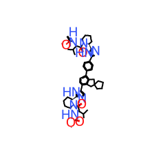 C=C(N[C@H](C(=O)N1CCCC[C@H]1c1ncc(-c2ccc(-c3ccc(-c4cnc([C@@H]5CCCCN5C(=O)[C@@H](NC(=O)OC)C(C)C)[nH]4)c4c3CC3(CCCC3)C4)cc2)[nH]1)C(C)C)OC